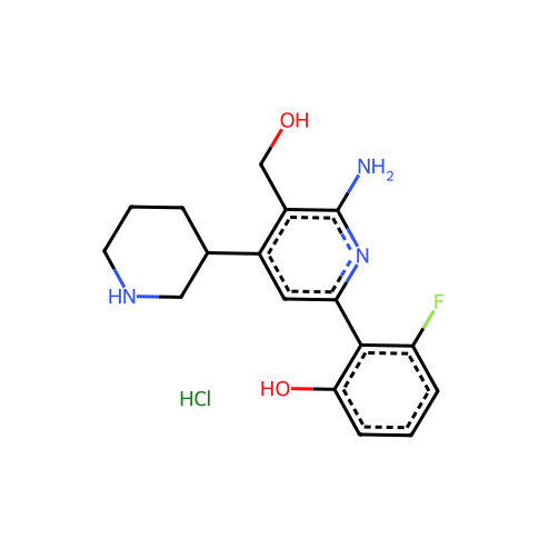 Cl.Nc1nc(-c2c(O)cccc2F)cc(C2CCCNC2)c1CO